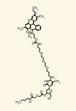 [2H]CC1OC(N2C=C(C)C(NCCCOCCOCCOCCCNC(=O)OCCN(C)C(=O)c3ccccc3-c3c4cc(C)/c(=N/CC)cc-4oc4cc(C)c(C)cc34)NC2=O)CC1OC(=O)COCC(=O)NCCCC